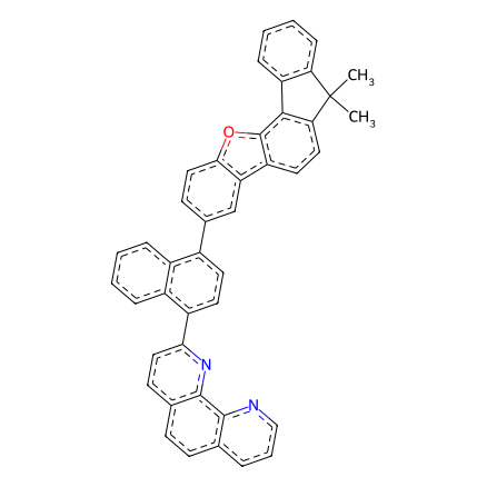 CC1(C)c2ccccc2-c2c1ccc1c2oc2ccc(-c3ccc(-c4ccc5ccc6cccnc6c5n4)c4ccccc34)cc21